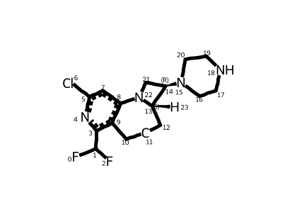 FC(F)c1nc(Cl)cc2c1CCC[C@H]1[C@H](N3CCNCC3)CN21